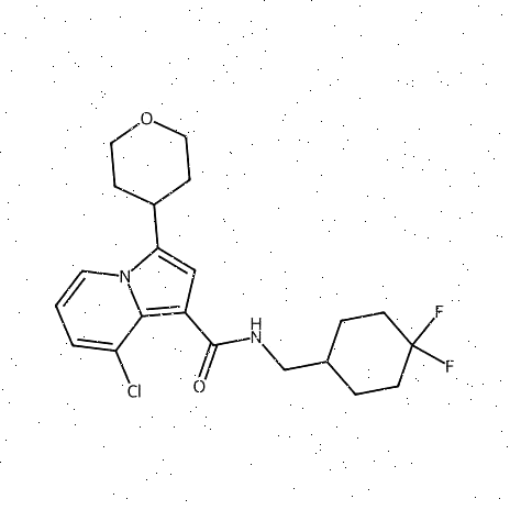 O=C(NCC1CCC(F)(F)CC1)c1cc(C2CCOCC2)n2cccc(Cl)c12